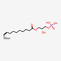 CCCCCCCCC/C=C\CCCCCCCC(=O)OC[C@@H](O)COP(=O)(O)O